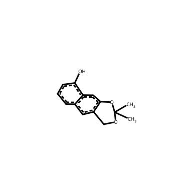 CC1(C)OCc2cc3cccc(O)c3cc2O1